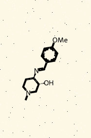 COc1ccc(/C=N/[C@@H]2CCN(C)C[C@H]2O)cc1